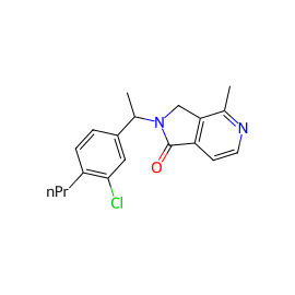 CCCc1ccc(C(C)N2Cc3c(ccnc3C)C2=O)cc1Cl